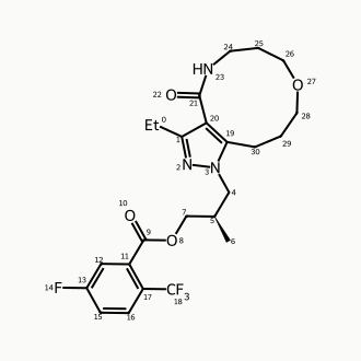 CCc1nn(C[C@@H](C)COC(=O)c2cc(F)ccc2C(F)(F)F)c2c1C(=O)NCCCOCCC2